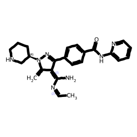 C=c1/c(=C(N)\N=C/C)c(-c2ccc(C(=O)Nc3ccccn3)cc2)nn1[C@@H]1CCCNC1